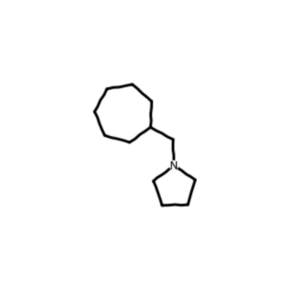 C1CCCC(CN2CCCC2)CC1